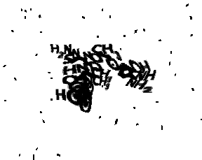 CC(COc1ccc(C(=N)N)c(O)c1)O/N=C(\C(=O)N[C@@H]1C(=O)N(OS(=O)(=O)O)C1(C)C)c1csc(N)n1